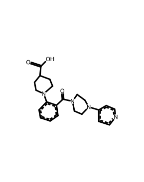 O=C(O)C1CCN(c2ccccc2C(=O)N2CCN(c3ccncc3)CC2)CC1